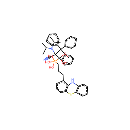 COC(OC)(C(C#N)(N(C(C)C)C(C)C)C(c1ccccc1)(c1ccccc1)c1ccccc1)P(O)(O)(O)CCCc1cccc2c1Nc1ccccc1S2